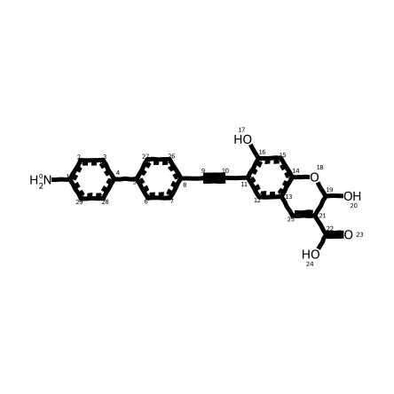 Nc1ccc(-c2ccc(C#Cc3cc4c(cc3O)OC(O)C(C(=O)O)=C4)cc2)cc1